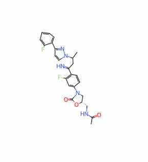 CC(=O)NC[C@H]1CN(c2ccc(C(=N)CC(C)n3ccc(-c4ccccc4F)n3)c(F)c2)C(=O)O1